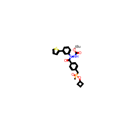 CC(C)(C)OC(=O)NN(C(=O)c1ccc(CP(C)(=O)OC2CCC2)cc1)c1cccc(-c2cccs2)c1